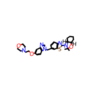 CC1(C)O[C@@H]2CCCC[C@H]2N1c1nc2ccc(Cn3cnc4cc(OCCN5CCOCC5)ccc43)cc2s1